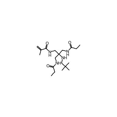 C=C(C)C(=O)NCC(CNC(=O)CC)(CNC(=O)CC)NCC(C)(C)C